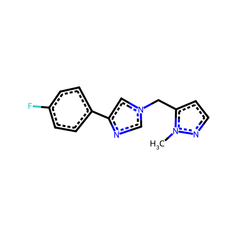 Cn1nccc1Cn1cnc(-c2ccc(F)cc2)c1